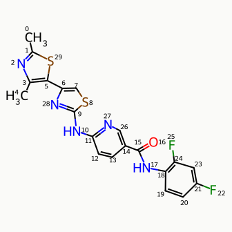 Cc1nc(C)c(-c2csc(Nc3ccc(C(=O)Nc4ccc(F)cc4F)cn3)n2)s1